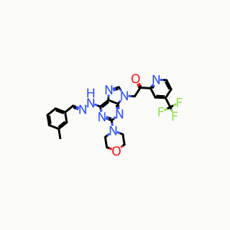 Cc1cccc(C=NNc2nc(N3CCOCC3)nc3c2ncn3CC(=O)c2cc(C(F)(F)F)ccn2)c1